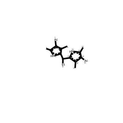 CCC(c1[nH]c(C)c(C(C)=O)c1C)c1[nH]c(C)c(C(C)=O)c1C